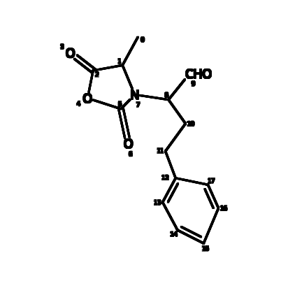 CC1C(=O)OC(=O)N1C(C=O)CCc1ccccc1